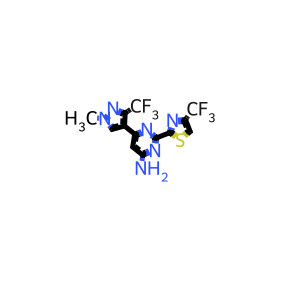 Cn1cc(-c2cc(N)nc(-c3nc(C(F)(F)F)cs3)n2)c(C(F)(F)F)n1